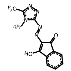 CCCn1c(N=NC2=C(O)c3ccccc3C2=O)nnc1C(F)(F)F